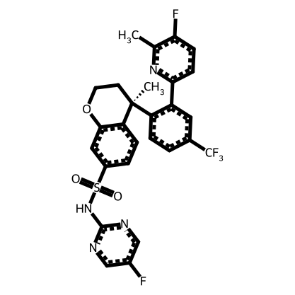 Cc1nc(-c2cc(C(F)(F)F)ccc2[C@]2(C)CCOc3cc(S(=O)(=O)Nc4ncc(F)cn4)ccc32)ccc1F